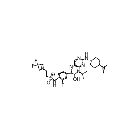 CC(C)N1c2nc(N[C@H]3CC[C@H](N(C)C)CC3)ncc2N=C(c2ccc(NS(=O)(=O)CCN3CC(F)(F)C3)c(F)c2)C1O